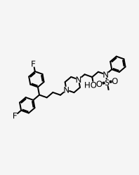 CS(=O)(=O)N(CC(O)CN1CCN(CCCC(c2ccc(F)cc2)c2ccc(F)cc2)CC1)c1ccccc1